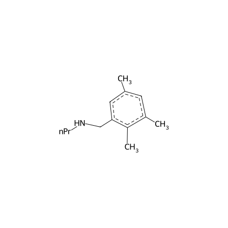 CCCNCc1cc(C)cc(C)c1C